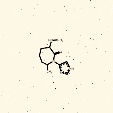 CNC1CCCC(C)N(c2c[nH]cn2)C1=O